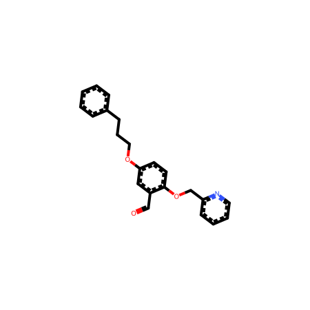 O=Cc1cc(OCCCc2ccccc2)ccc1OCc1ccccn1